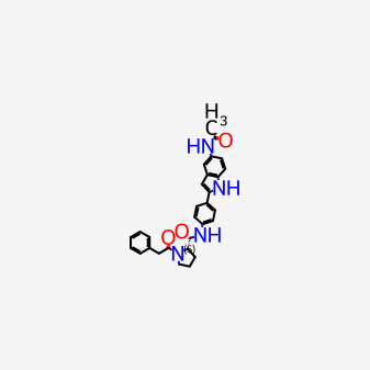 CC(=O)Nc1ccc2[nH]c(-c3ccc(NC(=O)[C@@H]4CCCN4C(=O)Cc4ccccc4)cc3)cc2c1